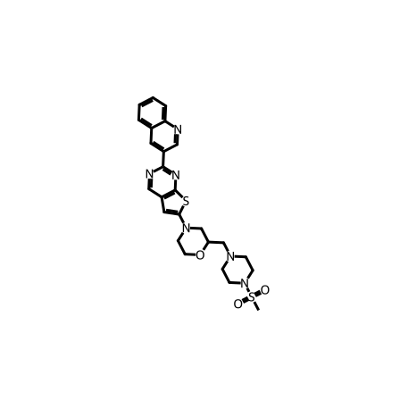 CS(=O)(=O)N1CCN(CC2CN(c3cc4cnc(-c5cnc6ccccc6c5)nc4s3)CCO2)CC1